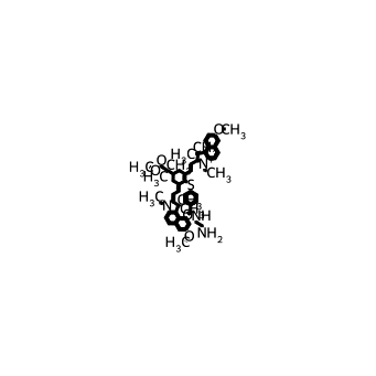 CCN1/C(=C/C=C2\CC(C(C)(C)C(=O)OC)CC(/C=C/C3=[N+](CC)c4ccc5cc(OC)ccc5c4C3(C)C)=C2Sc2ccc(C(=O)NCCN)cc2)C(C)(C)c2c1ccc1cc(OC)ccc21